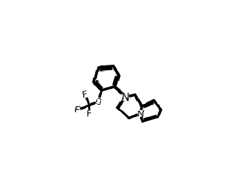 FC(F)(F)Oc1ccccc1N1CCN2C=CCC=C2C1